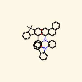 CC1(C)c2ccccc2-c2c(-c3ccccc3N(c3ccccc3-n3c4ccccc4c4ccccc43)c3cccc4c3ccc3ccccc34)cccc21